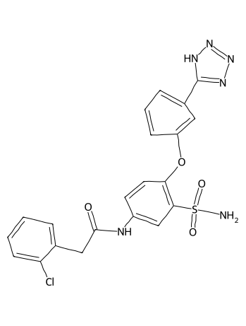 NS(=O)(=O)c1cc(NC(=O)Cc2ccccc2Cl)ccc1Oc1cccc(-c2nnn[nH]2)c1